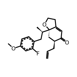 C=CC[C@H]1C[C@]2([C@H](C)Cc3ccc(OC)cc3F)OCCC2=CC1=O